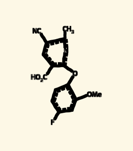 COc1cc(F)ccc1Oc1nc(C)c(C#N)cc1C(=O)O